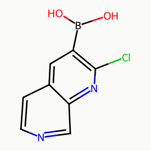 OB(O)c1cc2ccncc2nc1Cl